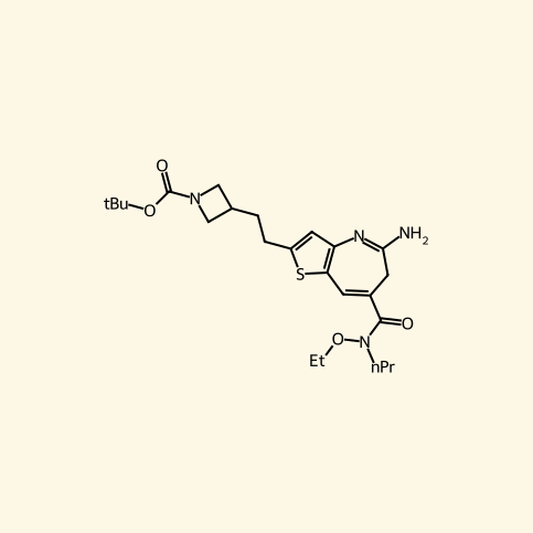 CCCN(OCC)C(=O)C1=Cc2sc(CCC3CN(C(=O)OC(C)(C)C)C3)cc2N=C(N)C1